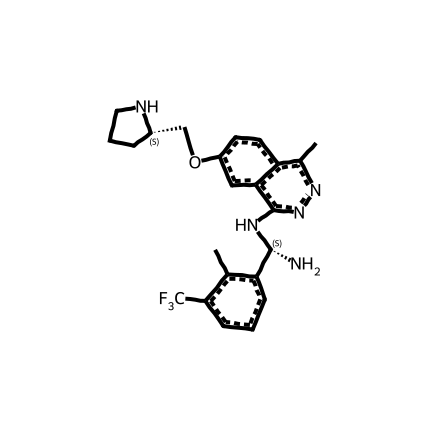 Cc1c([C@@H](N)Nc2nnc(C)c3ccc(OC[C@@H]4CCCN4)cc23)cccc1C(F)(F)F